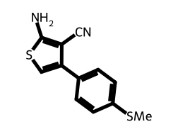 CSc1ccc(-c2csc(N)c2C#N)cc1